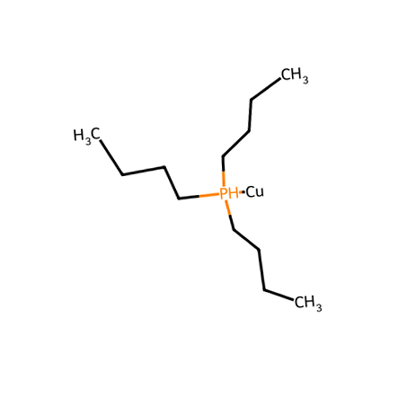 CCCC[PH]([Cu])(CCCC)CCCC